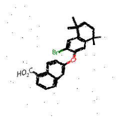 CC1(C)CCC(C)(C)c2cc(Oc3ccc4c(C(=O)O)cccc4c3)c(Br)cc21